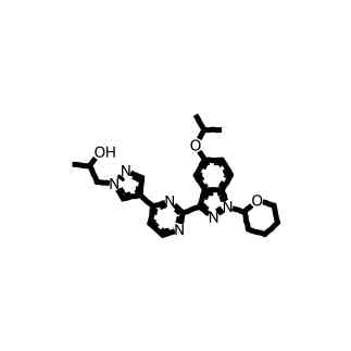 CC(O)Cn1cc(-c2ccnc(-c3nn(C4CCCCO4)c4ccc(OC(C)C)cc34)n2)cn1